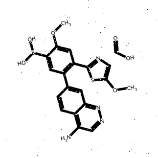 COc1cnc(-c2cc(OC)c(B(O)O)cc2-c2ccc3c(N)cnnc3c2)s1.O=CO